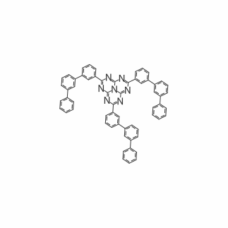 c1ccc(-c2cccc(-c3cccc(C4=NC5=NC(c6cccc(-c7cccc(-c8ccccc8)c7)c6)=NC6=NC(c7cccc(-c8cccc(-c9ccccc9)c8)c7)=NC(=N4)N56)c3)c2)cc1